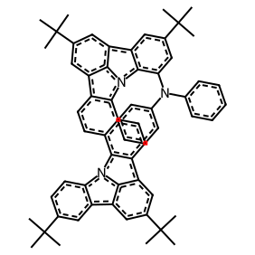 CC(C)(C)c1ccc2c(c1)c1cc(C(C)(C)C)cc3c4ccc5c(ccc6c7cc(C(C)(C)C)cc8c9cc(C(C)(C)C)cc(N(c%10ccccc%10)c%10ccccc%10)c9n(c87)c56)c4n2c13